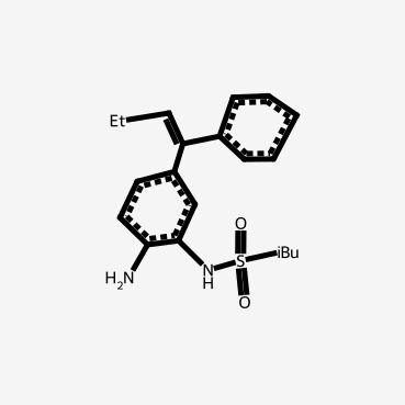 CCC=C(c1ccccc1)c1ccc(N)c(NS(=O)(=O)C(C)CC)c1